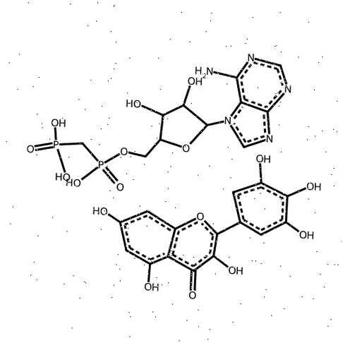 Nc1ncnc2ncn(C3OC(COP(=O)(O)CP(=O)(O)O)C(O)C3O)c12.O=c1c(O)c(-c2cc(O)c(O)c(O)c2)oc2cc(O)cc(O)c12